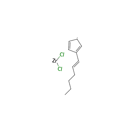 CCCCC=CC1=C[CH]C=C1.[Cl][Zr][Cl]